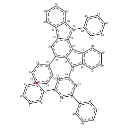 c1ccc(-c2nc(-c3ccccc3)nc(-n3c4ccccc4c4c3c(-c3ccccc3)cc3c5ccccc5n(-c5ccccc5)c34)n2)cc1